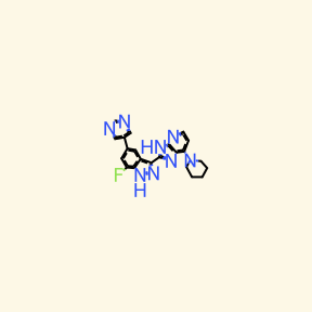 Fc1cc(-c2cncnc2)cc2c(-c3nc4c(N5CCCCC5)ccnc4[nH]3)n[nH]c12